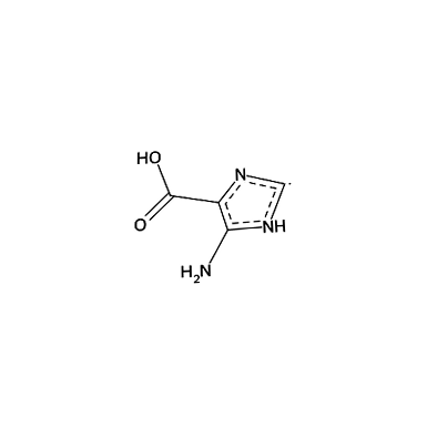 Nc1[nH][c]nc1C(=O)O